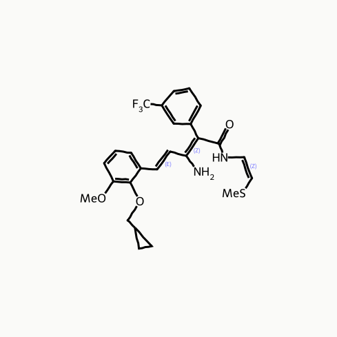 COc1cccc(/C=C/C(N)=C(/C(=O)N/C=C\SC)c2cccc(C(F)(F)F)c2)c1OCC1CC1